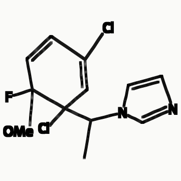 COC1(F)C=CC(Cl)=CC1(Cl)C(C)n1ccnc1